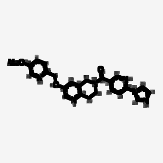 COc1ccc(COc2cnc3c(c2)CN(C(=O)c2ccc(-n4ccnc4)nc2)CC3)nc1